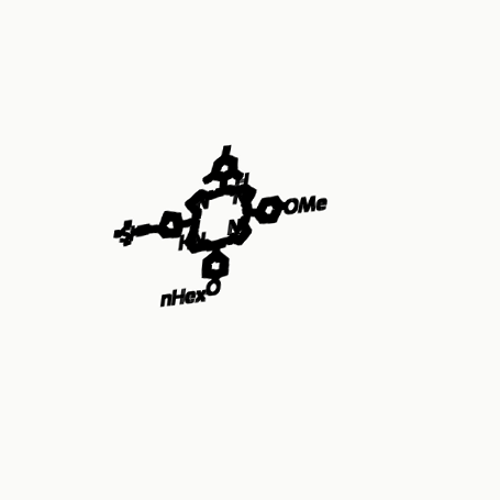 CCCCCCOc1ccc(-c2c3nc(c(-c4ccc(OC)cc4)c4ccc([nH]4)c(-c4c(C)cc(C)cc4C)c4nc(c(-c5ccc(C#C[Si](C)(C)C)cc5)c5ccc2[nH]5)C=C4)C=C3)cc1